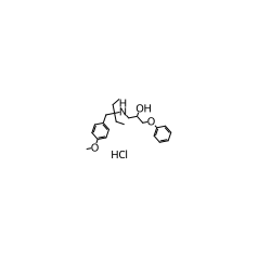 CCC(CC)(Cc1ccc(OC)cc1)NCC(O)COc1ccccc1.Cl